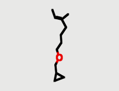 CC=C(C)CCCCOCC1CC1